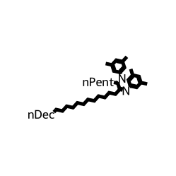 CCCCCCCCCCCCCCCCCCCCCCC(=Nc1cc(C)cc(C)c1)C(CCCCC)=Nc1cc(C)cc(C)c1